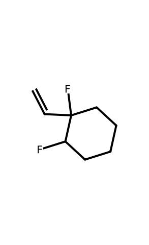 C=CC1(F)CCCCC1F